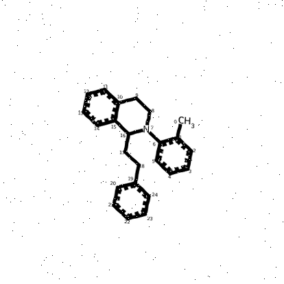 Cc1ccccc1N1CCc2ccccc2C1CCc1ccccc1